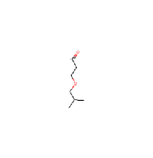 CC(C)COCC[C]=O